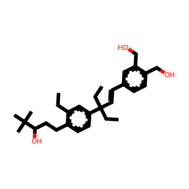 CCc1cc(C(/C=C/c2ccc(CO)c(CO)c2)(CC)CC)ccc1CCC(O)C(C)(C)C